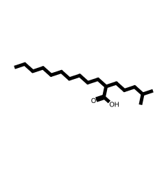 CCCCCCCCCCC(CCCC(C)C)C(=O)O